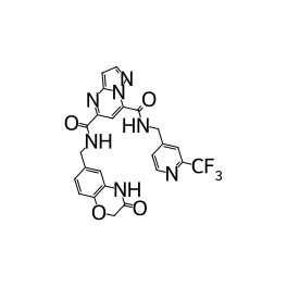 O=C1COc2ccc(CNC(=O)c3cc(C(=O)NCc4ccnc(C(F)(F)F)c4)n4nccc4n3)cc2N1